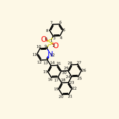 O=S(=O)(c1ccccc1)c1cccc(-c2ccc3c4ccccc4c4ccccc4c3c2)n1